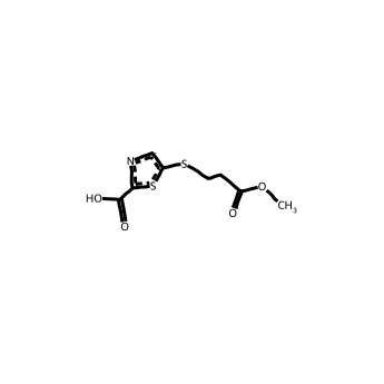 COC(=O)CCSc1[c]nc(C(=O)O)s1